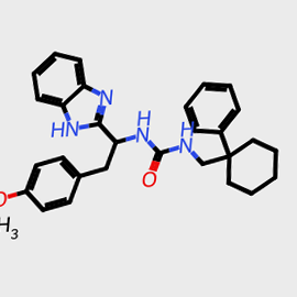 COc1ccc(CC(NC(=O)NCC2(c3ccccc3)CCCCC2)c2nc3ccccc3[nH]2)cc1